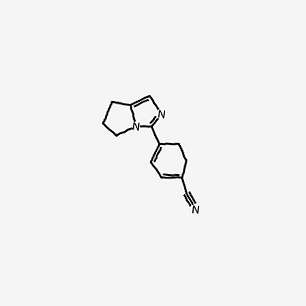 N#CC1=CC=C(c2ncc3n2CCC3)CC1